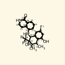 CC1c2c(O)cc(F)cc2C(Nc2cccc3c(=O)[nH]ccc23)C(O)(C(F)(F)F)C1C